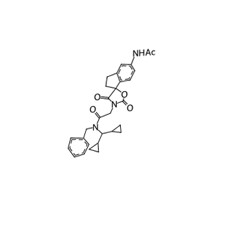 CC(=O)Nc1ccc2c(c1)CCC21OC(=O)N(CC(=O)N(Cc2ccccc2)C(C2CC2)C2CC2)C1=O